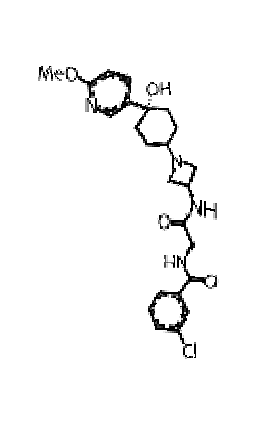 COc1ccc([C@]2(O)CC[C@H](N3CC(NC(=O)CNC(=O)c4cccc(Cl)c4)C3)CC2)cn1